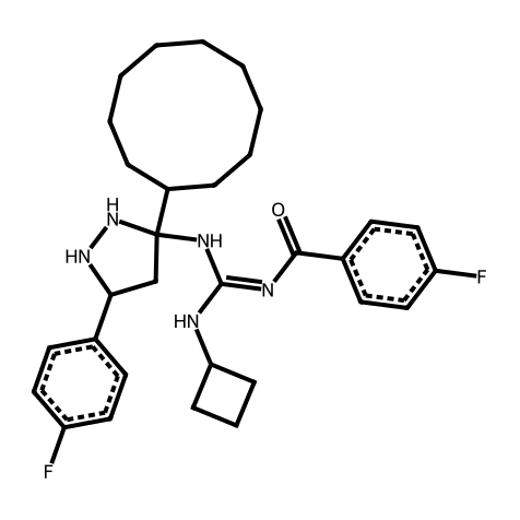 O=C(/N=C(/NC1CCC1)NC1(C2CCCCCCCCC2)CC(c2ccc(F)cc2)NN1)c1ccc(F)cc1